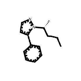 CCC[C@@H](C)n1nccc1-c1ccccc1